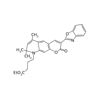 CCOC(=O)CCCN1c2cc3oc(=O)c(-c4nc5ccccc5o4)cc3cc2C(C)=CC1(C)C